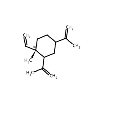 C=C[C@]1(C)CCC(C(=C)C)CC1C(=C)C